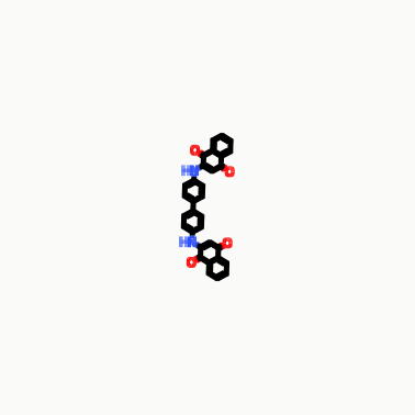 O=C1C=C(Nc2ccc(-c3ccc(NC4=CC(=O)c5ccccc5C4=O)cc3)cc2)C(=O)c2ccccc21